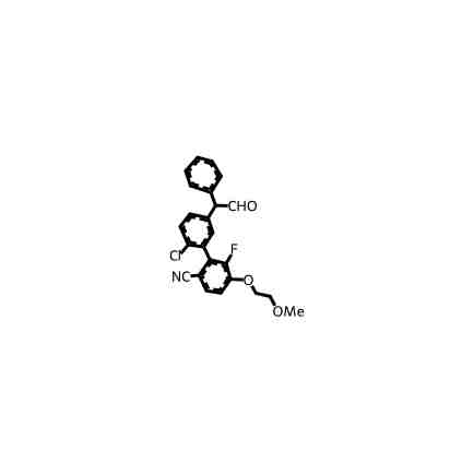 COCCOc1ccc(C#N)c(-c2cc(C(C=O)c3ccccc3)ccc2Cl)c1F